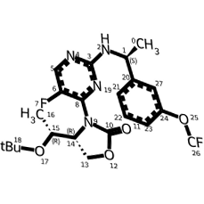 C[C@H](Nc1ncc(F)c(N2C(=O)OC[C@@H]2[C@@H](C)OC(C)(C)C)n1)c1cccc(OC(F)(F)F)c1